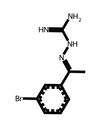 CC(=NNC(=N)N)c1cccc(Br)c1